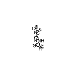 COC(=O)C1N=C(c2ccnc(Nc3cc(OC)cc(C(F)(F)F)c3)n2)SC1SC